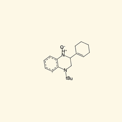 CC(C)(C)N1CC(C2=CCCCC2)[NH+]([O-])c2ccc[c]c21